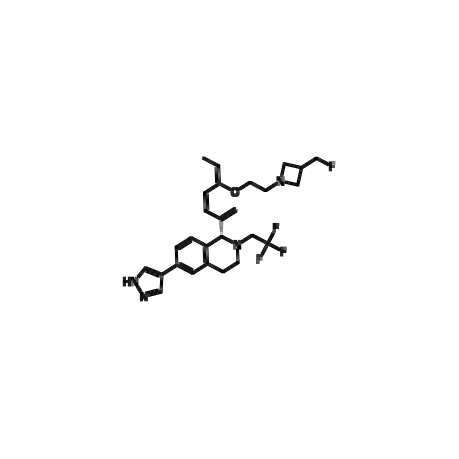 C=C(/C=C\C(=C/C)OCCN1CC(CF)C1)[C@H]1c2ccc(-c3cn[nH]c3)cc2CCN1CC(F)(F)F